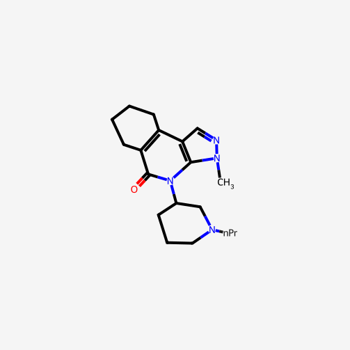 CCCN1CCCC(n2c(=O)c3c(c4cnn(C)c42)CCCC3)C1